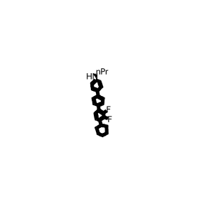 CCCNc1ccc(-c2ccc(-c3ccc(C4CCCCC4)c(F)c3F)cc2)cc1